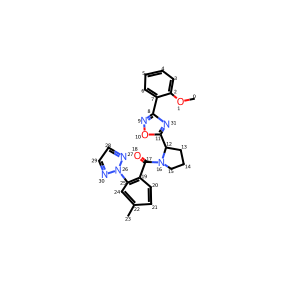 COc1ccccc1-c1noc(C2CCCN2C(=O)c2ccc(C)cc2-n2nccn2)n1